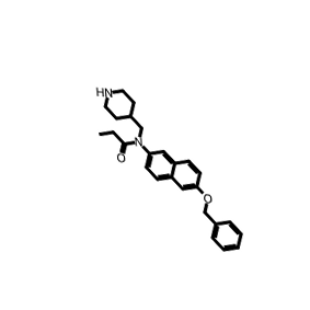 CCC(=O)N(CC1CCNCC1)c1ccc2cc(OCc3ccccc3)ccc2c1